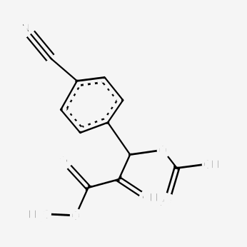 C=C(C(=O)OC)C(OC(C)=O)c1ccc(C#N)cc1